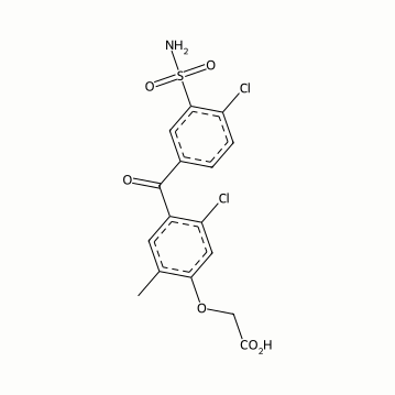 Cc1cc(C(=O)c2ccc(Cl)c(S(N)(=O)=O)c2)c(Cl)cc1OCC(=O)O